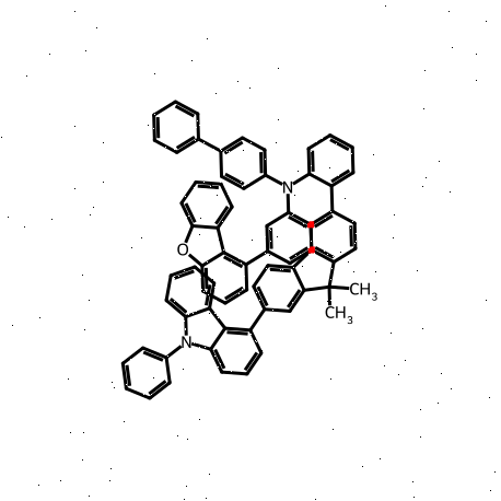 CC1(C)c2ccc(-c3ccccc3N(c3ccc(-c4ccccc4)cc3)c3cccc(-c4cccc5oc6ccccc6c45)c3)cc2-c2ccc(-c3cccc4c3c3ccccc3n4-c3ccccc3)cc21